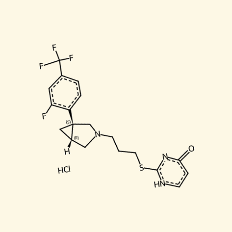 Cl.O=c1cc[nH]c(SCCCN2C[C@@H]3C[C@]3(c3ccc(C(F)(F)F)cc3F)C2)n1